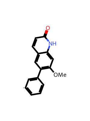 COc1cc2[nH]c(=O)ccc2cc1-c1c[c]ccc1